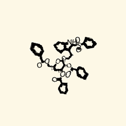 O=C(OC[C@@H]1C[C@H](OC(=O)c2ccccc2)[C@@H](OC(=O)c2ccccc2)[C@@H](OCCc2c(S(=O)(=O)c3ccccc3)[nH]c3ccccc23)O1)c1ccccc1